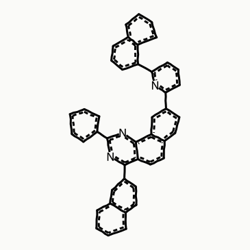 c1ccc(-c2nc(-c3ccc4ccccc4c3)c3ccc4ccc(-c5cccc(-c6cccc7ccccc67)n5)cc4c3n2)cc1